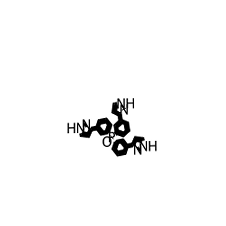 O=P(c1cccc(-c2cc[nH]n2)c1)(c1cccc(-c2cc[nH]n2)c1)c1cccc(-c2cc[nH]n2)c1